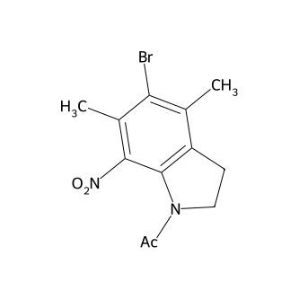 CC(=O)N1CCc2c(C)c(Br)c(C)c([N+](=O)[O-])c21